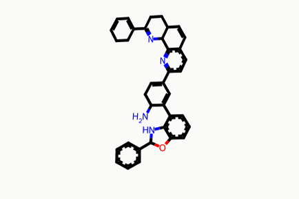 NC1CC=C(c2ccc3c(n2)C2N=C(C4=CC=CCC4)CCC2C=C3)C=C1c1cccc2c1NC(c1ccccc1)O2